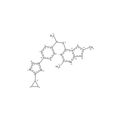 Cc1nc(OC(C)c2ccc(-c3nc(C4CC4)no3)cc2)c2cc(C)oc2n1